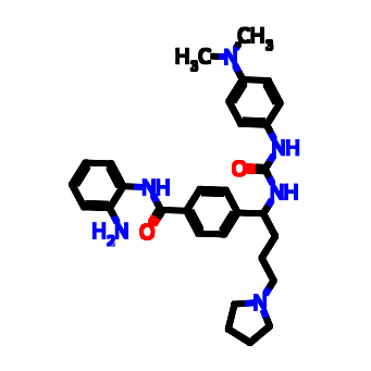 CN(C)c1ccc(NC(=O)NC(CCCN2CCCC2)c2ccc(C(=O)Nc3ccccc3N)cc2)cc1